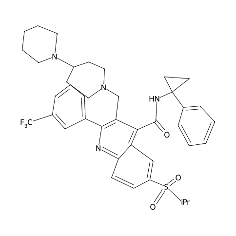 CC(C)S(=O)(=O)c1ccc2nc(-c3cccc(C(F)(F)F)c3)c(CN3CCC(N4CCCCC4)CC3)c(C(=O)NC3(c4ccccc4)CC3)c2c1